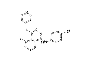 Clc1ccc(Nc2nnc(Cc3ccncc3)c3c(I)cccc23)cc1